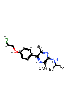 CCc1nc(NC(CC)CC)c(OC)nc1-c1ccc(OCCCl)cc1